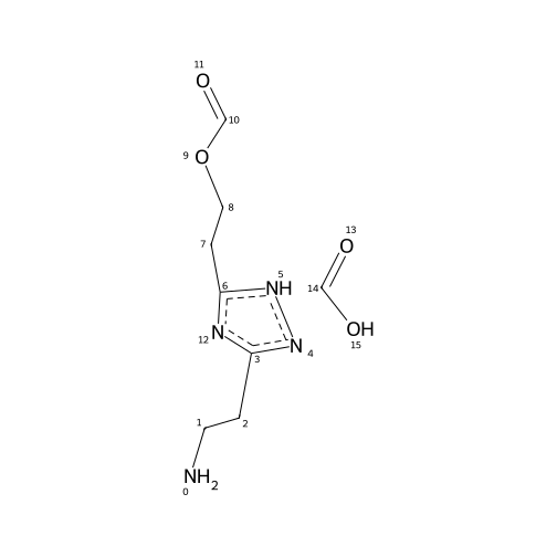 NCCc1n[nH]c(CCOC=O)n1.O=CO